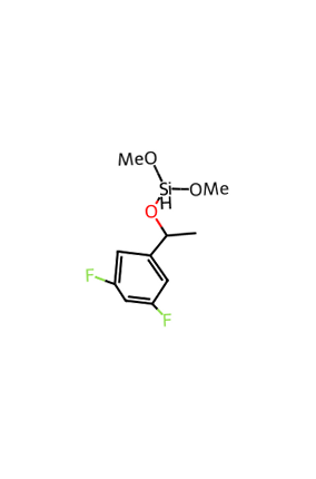 CO[SiH](OC)OC(C)c1cc(F)cc(F)c1